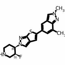 Cc1cc(-c2cc3cn([C@@H]4CCNC[C@@H]4F)nc3s2)cc2cn(C)nc12